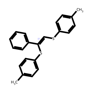 Cc1ccc(S/C=C(\Sc2ccc(C)cc2)c2ccccc2)cc1